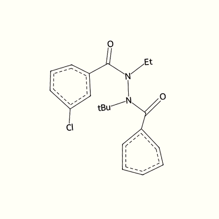 CCN(C(=O)c1cccc(Cl)c1)N(C(=O)c1ccccc1)C(C)(C)C